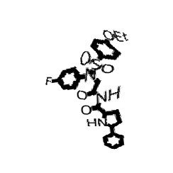 CCOc1ccc(S(=O)(=O)N(CC(=O)NC(=O)C2CCC(c3ccccc3)N2)c2ccc(F)cc2)cc1